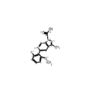 COc1cccc(F)c1-c1cc2c(N)nn(C(=O)O)c2cn1